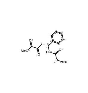 COC(=O)C(=O)C[C@@H](NC(=O)OC(C)(C)C)c1ccccc1